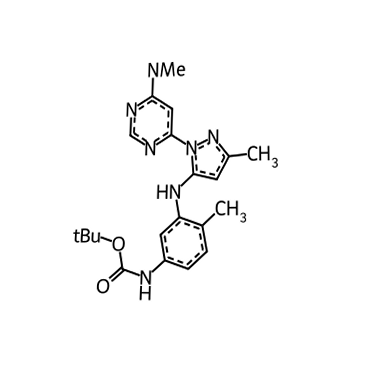 CNc1cc(-n2nc(C)cc2Nc2cc(NC(=O)OC(C)(C)C)ccc2C)ncn1